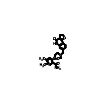 Cc1cc(N2CCN(Cc3ccc4c5c(c(=O)[nH]c4c3)CCO5)CC2)c(C(N)=O)nc1C